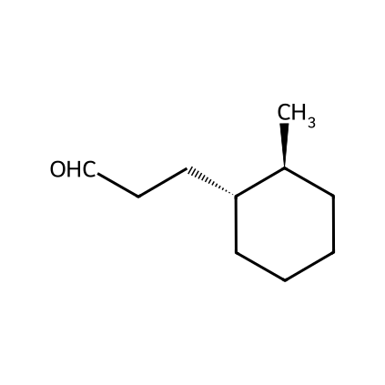 C[C@H]1CCCC[C@@H]1CCC=O